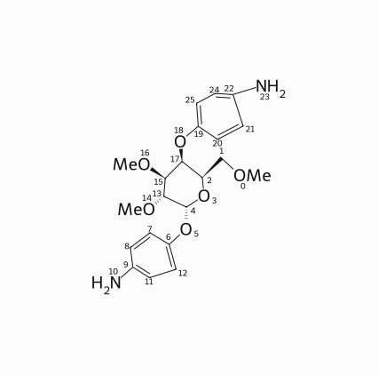 COC[C@H]1O[C@H](Oc2ccc(N)cc2)[C@H](OC)[C@@H](OC)[C@H]1Oc1ccc(N)cc1